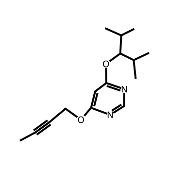 CC#CCOc1cc(OC(C(C)C)C(C)C)ncn1